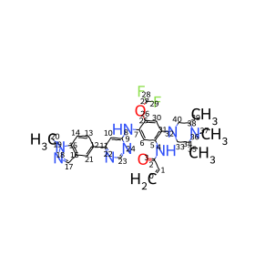 C=CC(=O)Nc1cc(Nc2cc(-c3ccc4c(cnn4C)c3)ncn2)c(OC(F)F)cc1N1C[C@@H](C)N(C)[C@@H](C)C1